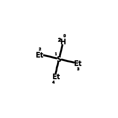 [2H]S(CC)(CC)CC